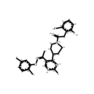 C/C(=N/Oc1cc(C)ccc1C)c1cnc(C)nc1C1CCN(C(=O)Cc2c(F)cccc2F)CC1